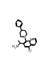 CC(N)c1cc(Cl)c2cccnc2c1N1CCC(c2ccccc2)CC1